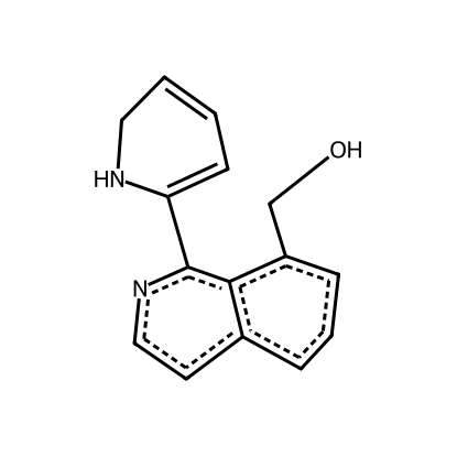 OCc1cccc2ccnc(C3=CC=CCN3)c12